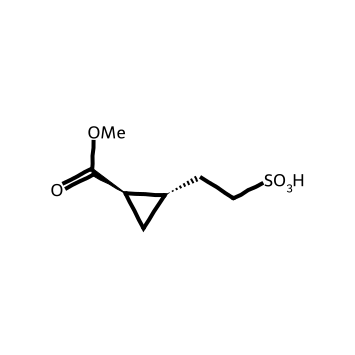 COC(=O)[C@@H]1C[C@H]1CCS(=O)(=O)O